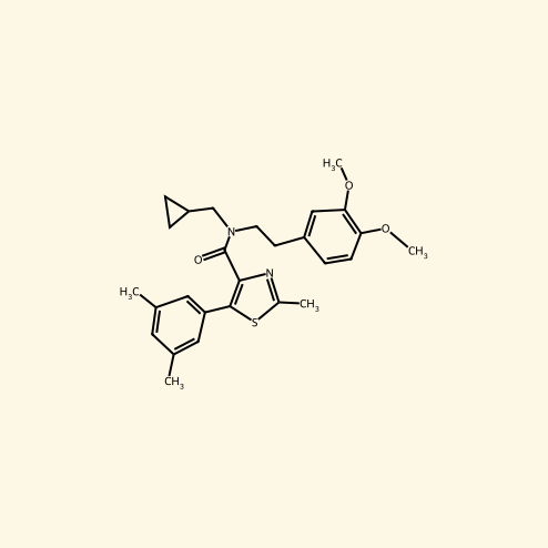 COc1ccc(CCN(CC2CC2)C(=O)c2nc(C)sc2-c2cc(C)cc(C)c2)cc1OC